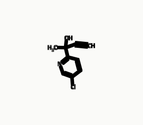 C#CC(C)(O)c1ccc(Cl)cn1